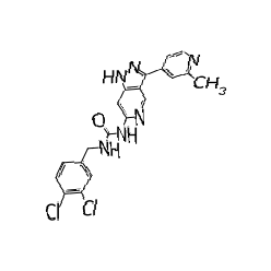 Cc1cc(-c2n[nH]c3cc(NC(=O)NCc4ccc(Cl)c(Cl)c4)ncc23)ccn1